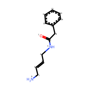 NC/C=C/CNC(=O)Cc1ccccc1